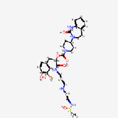 C[S+]([O-])N=C=C=NC=C=C=NC(=O)[C@@H](Cc1ccc(O)c(Br)c1)OC(=O)N1CCC(N2CCc3ccccc3NC2=O)CC1